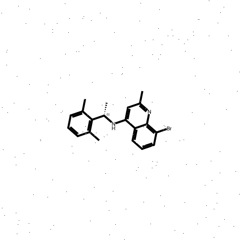 Cc1cc(N[C@@H](C)c2c(C)cccc2C)c2cccc(Br)c2n1